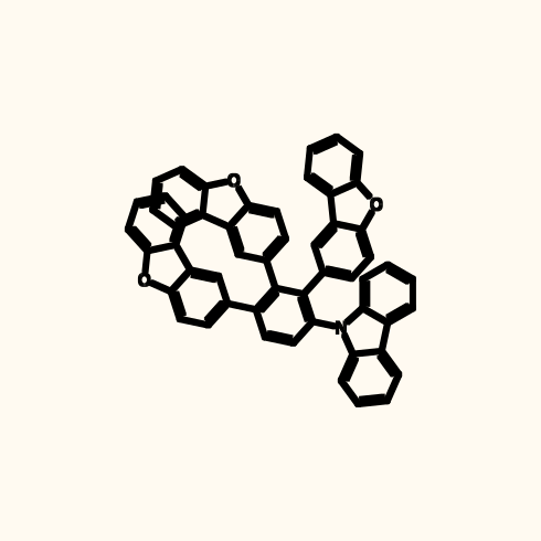 c1ccc2c(c1)oc1ccc(-c3ccc(-n4c5ccccc5c5ccccc54)c(-c4ccc5oc6ccccc6c5c4)c3-c3ccc4oc5ccccc5c4c3)cc12